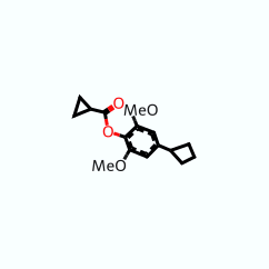 COc1cc(C2CCC2)cc(OC)c1OC(=O)C1CC1